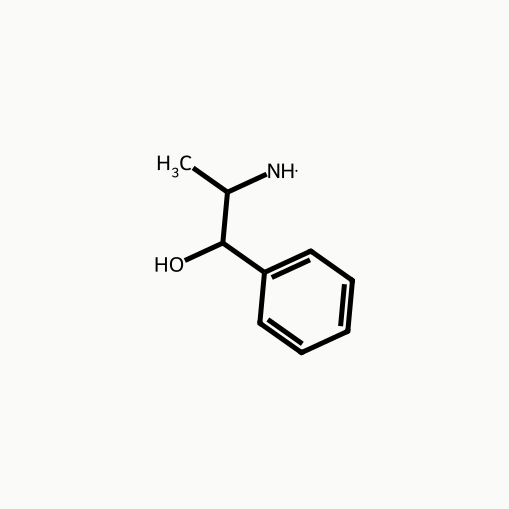 CC([NH])C(O)c1ccccc1